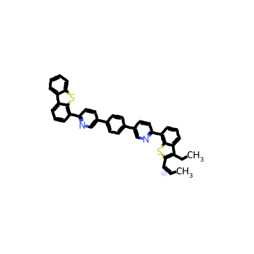 C/C=C\c1sc2c(-c3ccc(-c4ccc(-c5ccc(-c6cccc7c6sc6ccccc67)nc5)cc4)cn3)cccc2c1CC